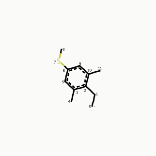 [CH2]Cc1c(C)cc(SC)cc1C